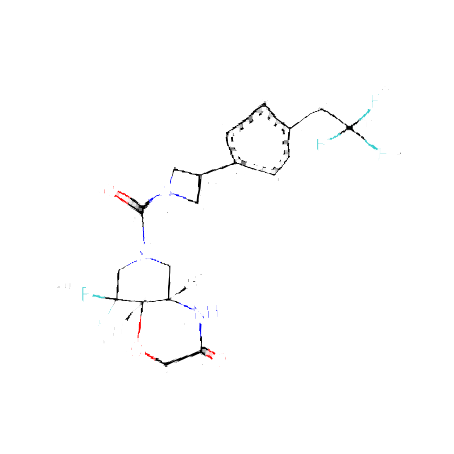 O=C1CO[C@H]2[C@H](CN(C(=O)N3CC(c4ccc(CC(F)(F)F)cc4)C3)CC2(F)F)N1